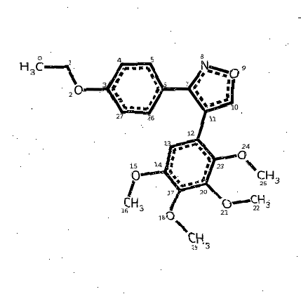 CCOc1ccc(-c2nocc2-c2cc(OC)c(OC)c(OC)c2OC)cc1